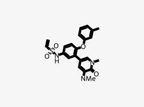 C=CS(=O)(=O)Nc1ccc(Oc2cccc(C)c2)c(-c2cc(NC)c(=O)n(C)c2)c1